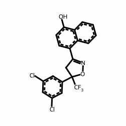 Oc1ccc(C2=NOC(c3cc(Cl)cc(Cl)c3)(C(F)(F)F)C2)c2ccccc12